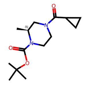 C[C@H]1CN(C(=O)C2CC2)CCN1C(=O)OC(C)(C)C